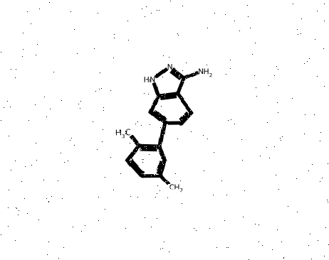 Cc1ccc(C)c(-c2ccc3c(N)n[nH]c3c2)c1